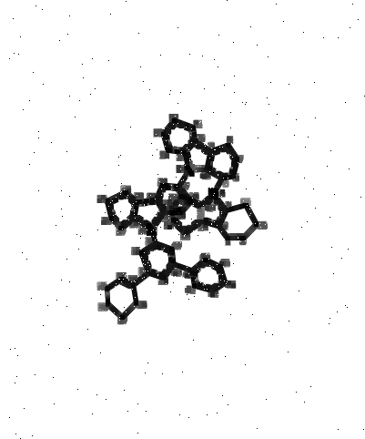 C1=Cc2c(n(-c3cccc4c5ccccc5n(-c5ccc6c(c5)c5ccccc5n6-c5cc(C6=CCCCC6)cc(-c6ccccc6)c5)c34)c3ccccc23)CC1